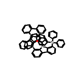 c1ccc(-c2ccccc2-n2c3ccccc3c3c(-n4c5c(-n6c7ccccc7c7ccccc76)cccc5c5cccc([Si](c6ccccc6)(c6ccccc6)c6ccccc6)c54)cccc32)cc1